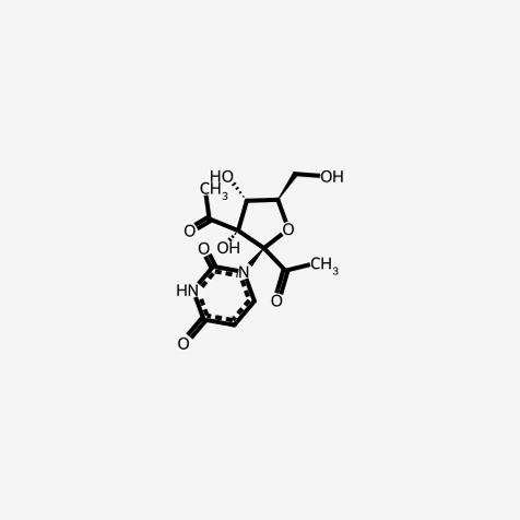 CC(=O)[C@@]1(O)[C@H](O)[C@@H](CO)O[C@@]1(C(C)=O)n1ccc(=O)[nH]c1=O